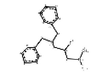 CN(C)CC(F)CN(Cc1ccccc1)Cc1ccccc1